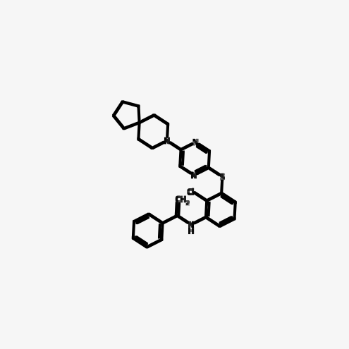 C=C(Nc1cccc(Sc2cnc(N3CCC4(CCCC4)CC3)cn2)c1Cl)c1ccccc1